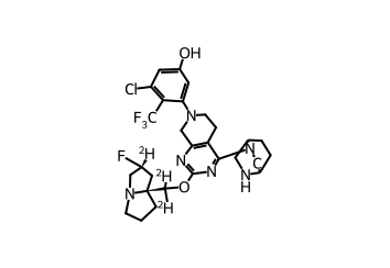 [2H]C([2H])(Oc1nc2c(c(N3CC4CCC3CN4)n1)CCN(c1cc(O)cc(Cl)c1C(F)(F)F)C2)[C@@]12CCCN1C[C@]([2H])(F)C2